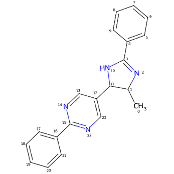 CC1N=C(c2ccccc2)NC1c1cnc(-c2ccccc2)nc1